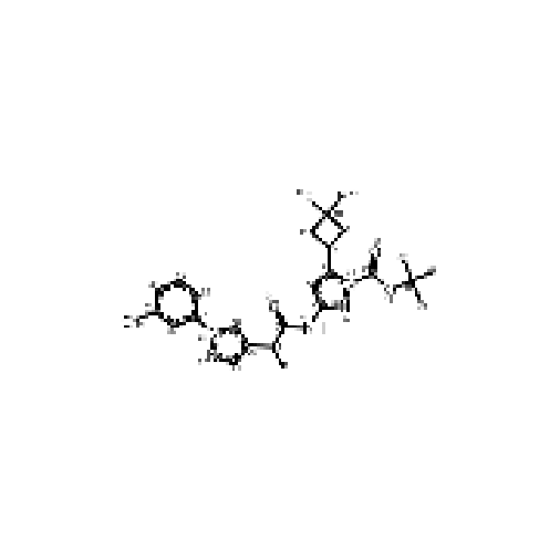 CC(C(=O)Nc1cc(C2CC(F)(F)C2)n(C(=O)OC(C)(C)C)n1)c1cnn(-c2cccc(Cl)c2)c1